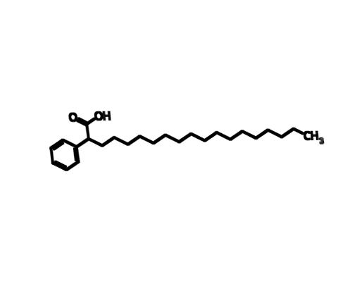 CCCCCCCCCCCCCCCCCC(C(=O)O)c1ccccc1